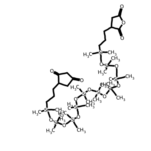 C[Si](C)(CCCC1CC(=O)CC1=O)O[Si](C)(C)O[Si](C)(C)O[Si](C)(C)O[Si](C)(C)O[Si](C)(C)O[Si](C)(C)O[Si](C)(C)O[Si](C)(C)O[Si](C)(C)CCCC1CC(=O)OC1=O